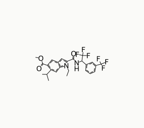 CCn1c(C(=O)NC(c2cccc(C(F)(F)F)c2)C(F)(F)F)cc2cc(C(=O)OC)c(C(C)C)cc21